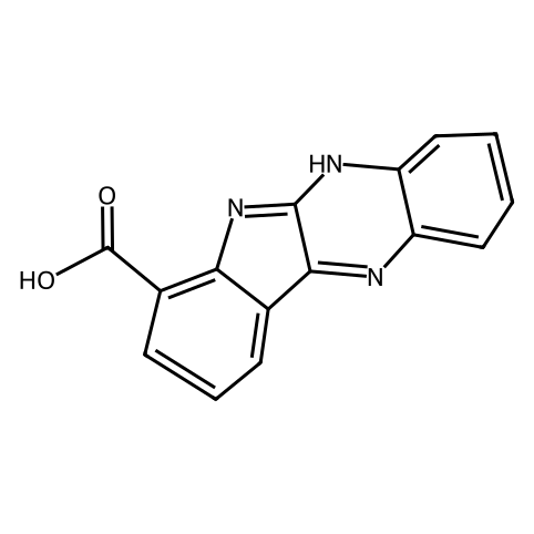 O=C(O)c1cccc2c3nc4ccccc4[nH]c-3nc12